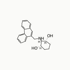 O[C@@H]1CCC[C@H](O)[C@H]1NCc1cc2ccccc2c2ccccc12